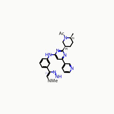 CN/C=C(\N=N)c1cccc(Nc2cc(-c3cccnc3)nc([C@@H]3CC[C@H](C)N(C(C)=O)C3)n2)c1